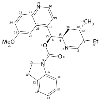 CCC1C=N[C@@H]([C@@H](OC(=O)N2CCc3ccccc32)c2ccnc3ccc(OC)cc23)C[C@@H]1C